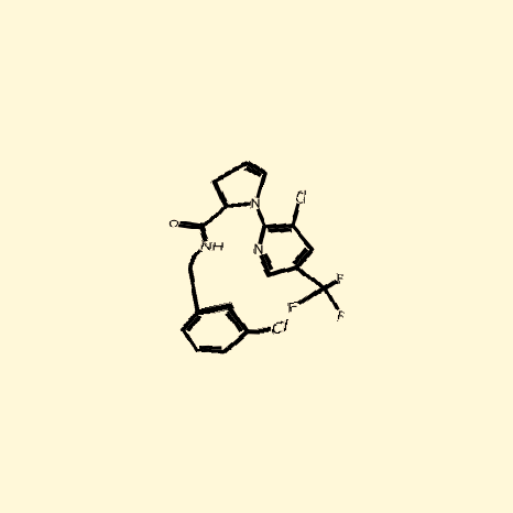 O=C(NCc1cccc(Cl)c1)C1CC=CN1c1ncc(C(F)(F)F)cc1Cl